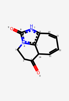 O=C1CCn2c3c([nH]c2=O)C=CC=CC13